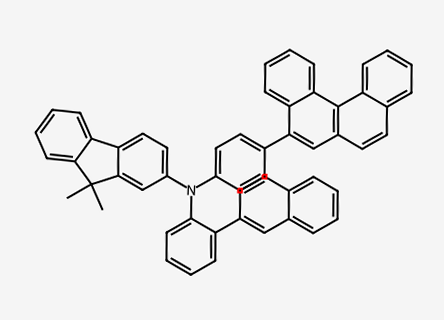 CC1(C)c2ccccc2-c2ccc(N(c3ccc(-c4cc5ccc6ccccc6c5c5ccccc45)cc3)c3ccccc3-c3ccc4ccccc4c3)cc21